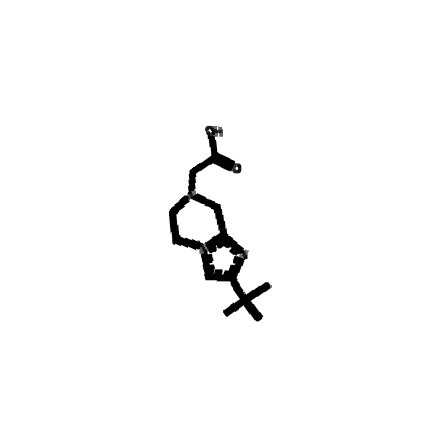 CC(C)(C)c1cn2c(n1)CN(CC(=O)O)CC2